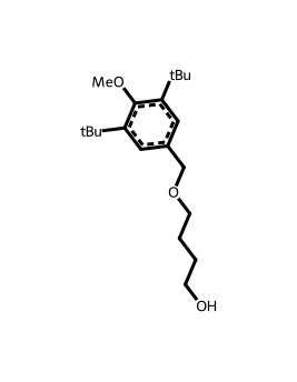 COc1c(C(C)(C)C)cc(COCCCCO)cc1C(C)(C)C